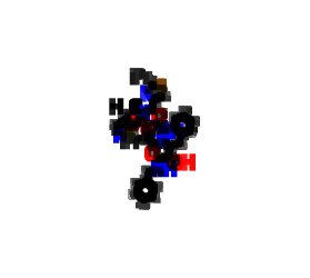 CC(C)c1nc(CN(C)C(=O)N[C@H](C(=O)N(NC(=O)OCc2ccns2)[C@@H](Cc2ccccc2)C(O)CNCc2ccccc2)C(C)C)cs1